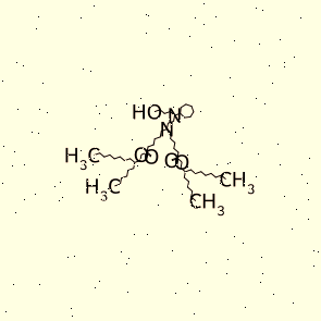 CCCCCCCCC(CCCCCC)COC(=O)CCCCCN(CCCCCC(=O)OCC(CCCCCC)CCCCCCCC)CCN(CCCO)C1CCCCCC1